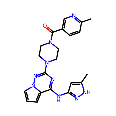 Cc1ccc(C(=O)N2CCN(c3nc(Nc4cc(C)[nH]n4)c4cccn4n3)CC2)cn1